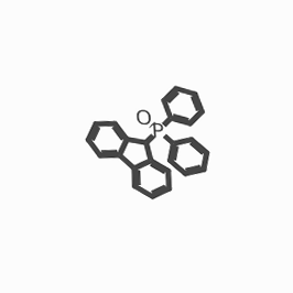 O=P(c1ccccc1)(c1ccccc1)C1c2ccccc2-c2ccccc21